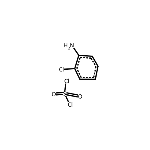 Nc1ccccc1Cl.O=S(=O)(Cl)Cl